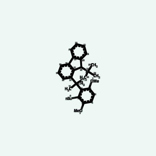 CCCCc1c(OC)ccc(OC)c1C(C)(C)c1cccc2c1C([Si](C)(C)C)c1ccccc1-2